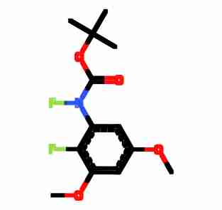 COc1cc(OC)c(F)c(N(F)C(=O)OC(C)(C)C)c1